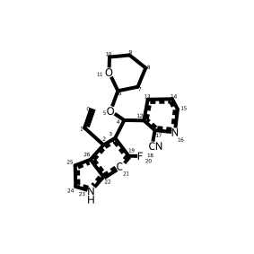 C=Cc1c(C(OC2CCCCO2)c2cccnc2C#N)c(F)cc2[nH]ccc12